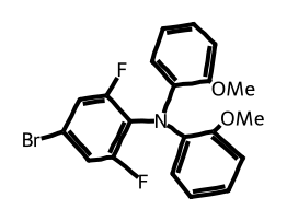 COc1ccccc1N(c1ccccc1OC)c1c(F)cc(Br)cc1F